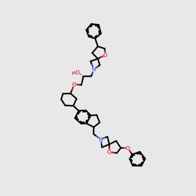 O[C@@H](COC1CCCC(c2ccc3c(c2)CCC3CN2CC3(CC(Oc4ccccc4)CO3)C2)C1)CN1CC2(CC(c3ccccc3)CO2)C1